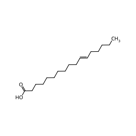 CCCCCC=CCCCCCCCCCC(=O)O